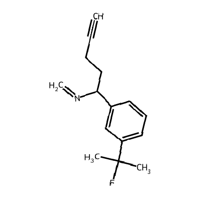 C#CCCC(N=C)c1cccc(C(C)(C)F)c1